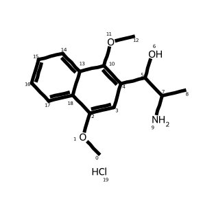 COc1cc(C(O)C(C)N)c(OC)c2ccccc12.Cl